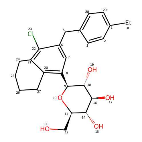 CCc1ccc(Cc2cc([C@@H]3O[C@H](CO)[C@@H](O)[C@H](O)[C@H]3O)c3c(c2Cl)CCCC3)cc1